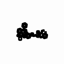 CCCC(=O)N(CCCOc1ccc(CC(Nc2ccccc2C(=O)c2ccccc2)C(=O)OC)cc1)Cc1cccc(C)c1